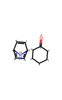 O=C1CCCCC1.c1cc2ccc1[nH]2